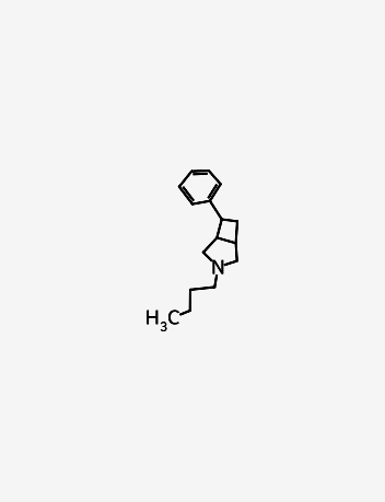 CCCCN1CC2CC(c3ccccc3)C2C1